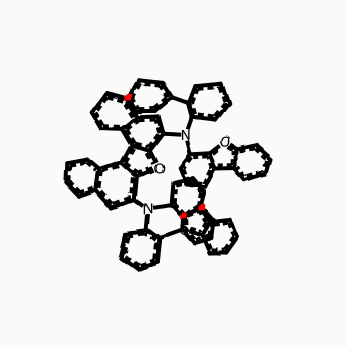 c1ccc(-c2ccccc2N(c2cccc3c2oc2ccccc23)c2cc3ccccc3c3c2oc2c(N(c4ccccc4-c4ccccc4)c4cccc5c4oc4ccccc45)cc4ccccc4c23)cc1